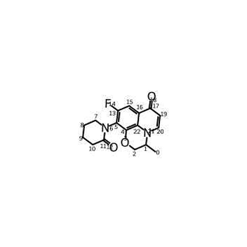 CC1COc2c(N3CCCCC3=O)c(F)cc3c(=O)ccn1c23